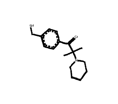 CC(C)(C(=O)c1ccc(CS)cc1)N1CCCCC1